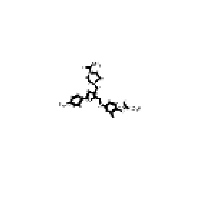 Cc1cc(SCc2sc(-c3ccc(C(F)(F)F)cc3)nc2CN2CCN(C(N)=O)CC2)ccc1OC(C)C(=O)O